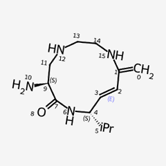 C=C1/C=C/[C@H](C(C)C)NC(=O)[C@@H](N)CNCCN1